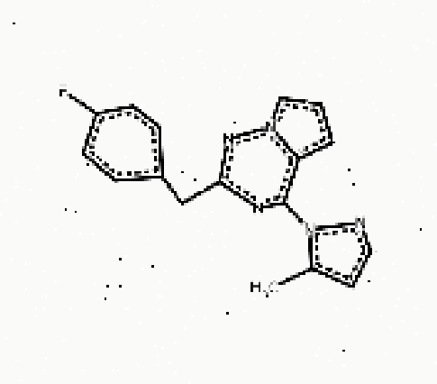 Cc1c[c]nn1-c1nc(Cc2ccc(F)cc2)nn2cccc12